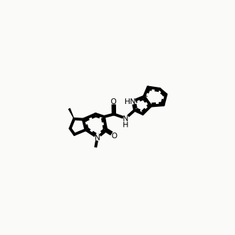 C[C@@H]1CCc2c1cc(C(=O)Nc1cc3ccccc3[nH]1)c(=O)n2C